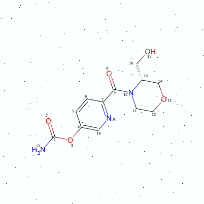 NC(=O)Oc1ccc(C(=O)N2CCOC[C@H]2CO)nc1